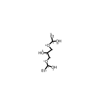 CCC(O)OCC(O)COC(O)CC